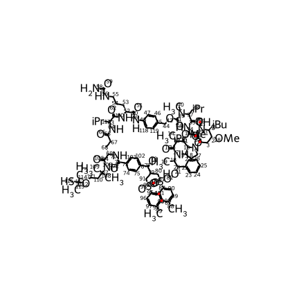 CC[C@H](C)C([C@@H](CC(=O)N1CCC[C@H]1[C@H](OC)[C@@H](C)C(=O)N[C@H](C)[C@@H](O)c1ccccc1)OC)N(C)C(=O)[C@@H](NC(=O)C(C(C)C)N(C)C(=O)OCc1ccc(NC(=O)[C@H](CCCNC(N)=O)NC(=O)C(NC(=O)CC[C@H](NC(=O)c2ccc(C(=O)C(CS(=O)(=O)c3ccc(C)cc3)CS(=O)(=O)c3ccc(C)cc3)cc2)C(=O)NC(C)(C)CCOC(C)(C)S)C(C)C)cc1)C(C)C